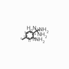 Cc1ccc(C(N)(N)N)c(N)c1